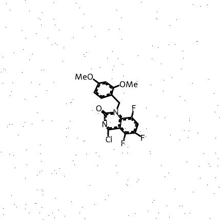 COc1ccc(Cn2c(=O)nc(Cl)c3c(F)c(F)cc(F)c32)c(OC)c1